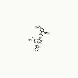 COc1ccc(OC)c(N2CCN(c3nc(NC4CCCNC4)c(-c4nc5ccccc5s4)c(=O)[nH]3)CC2)c1